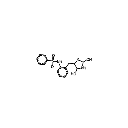 O=S(=O)(Nc1cc[c]cc1CC1SC(O)NC1O)c1ccccc1